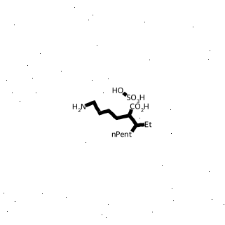 CCCCCC(CC)C(CCCCN)C(=O)O.O=S(=O)(O)O